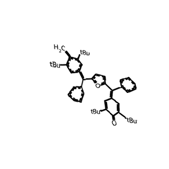 C=c1c(C(C)(C)C)cc(=C(c2ccccc2)c2ccc(C(=C3C=C(C(C)(C)C)C(=O)C(C(C)(C)C)=C3)c3ccccc3)o2)cc1C(C)(C)C